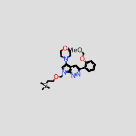 COCOc1ccccc1-c1cc2c(N3CCOCC3)cn(COCC[Si](C)(C)C)c2nn1